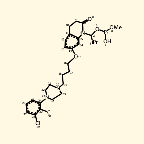 COP(O)OC(C(C)C)N1C(=O)CCc2ccc(OCCCCN3CCN(c4cccc(Cl)c4Cl)CC3)cc21